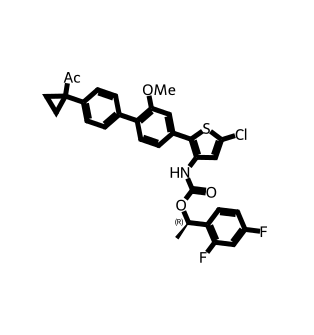 COc1cc(-c2sc(Cl)cc2NC(=O)O[C@H](C)c2ccc(F)cc2F)ccc1-c1ccc(C2(C(C)=O)CC2)cc1